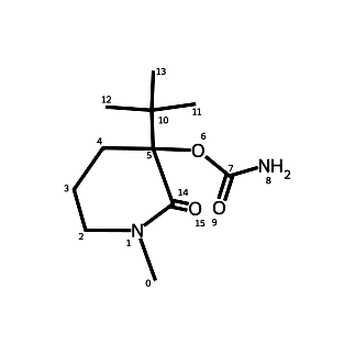 CN1CCCC(OC(N)=O)(C(C)(C)C)C1=O